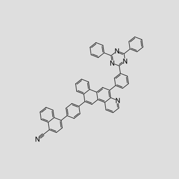 N#Cc1ccc(-c2ccc(-c3cc4c5cccnc5c(-c5cccc(-c6nc(-c7ccccc7)nc(-c7ccccc7)n6)c5)cc4c4ccccc34)cc2)c2ccccc12